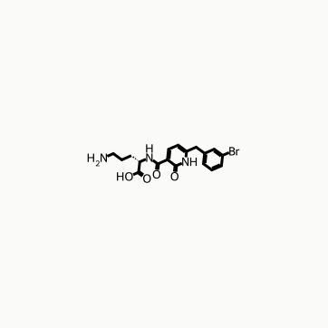 NCCC[C@H](NC(=O)c1ccc(Cc2cccc(Br)c2)[nH]c1=O)C(=O)O